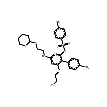 Cc1ccc(-c2c(NS(=O)(=O)c3ccc(C(C)(C)C)cc3)nc(NCCOC3CCCCO3)nc2OCCO)cc1